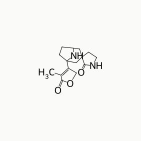 CC1=C(C23CCC(CC4(CCNC4=O)C2)N3)COC1=O